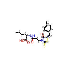 CCCCC(NC(=O)CCN1C(=O)/C(=C\c2ccc(C)cc2)SC1=S)C(=O)O